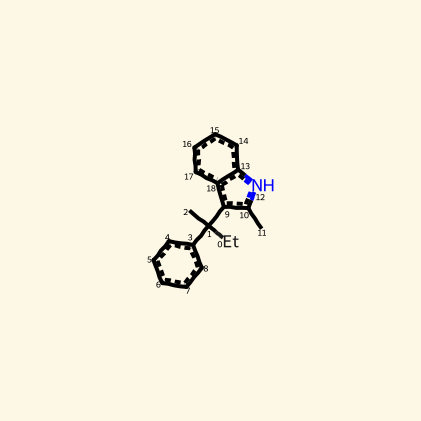 [CH2]CC(C)(c1ccccc1)c1c(C)[nH]c2ccccc12